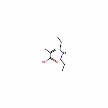 C=C(C)C(=O)O.CCCNCCC